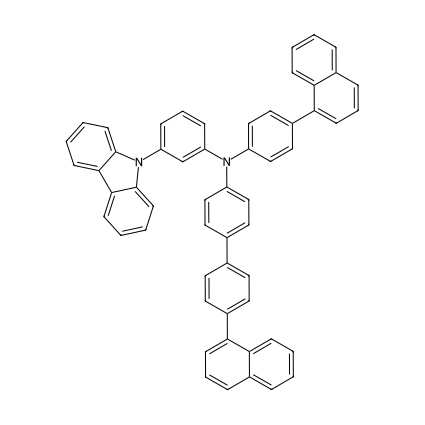 c1cc(N(c2ccc(-c3ccc(-c4cccc5ccccc45)cc3)cc2)c2ccc(-c3cccc4ccccc34)cc2)cc(-n2c3ccccc3c3ccccc32)c1